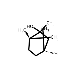 CC1(O)C[C@H]2CC[C@@]1(C)C2(C)C